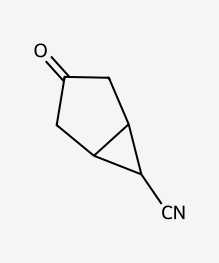 N#CC1C2CC(=O)CC12